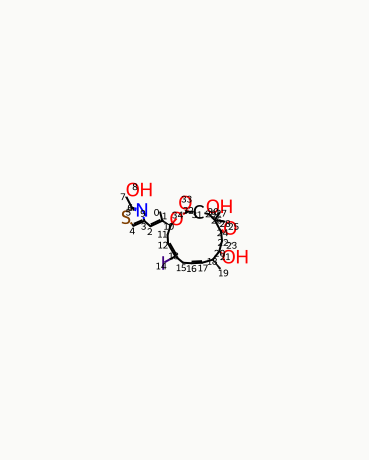 C/C(=C\c1csc(CO)n1)[C@@H]1C/C=C(/I)C/C=C/[C@H](C)[C@H](O)[C@@H](C)C(=O)C(C)(C)[C@@H](O)CC(=O)O1